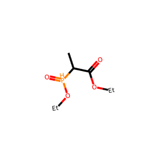 CCOC(=O)C(C)[PH](=O)OCC